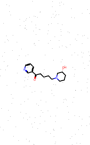 O=C(CCCCN1CCC[C@@H](O)C1)c1cccnc1